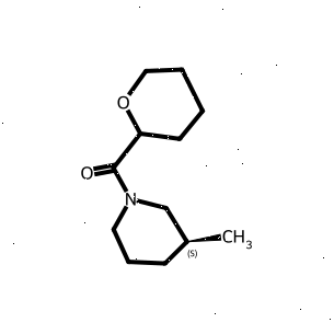 C[C@H]1CCCN(C(=O)C2CCCCO2)C1